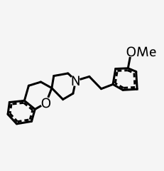 COc1cccc(CCN2CCC3(CCc4ccccc4O3)CC2)c1